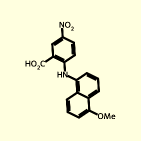 COc1cccc2c(Nc3ccc([N+](=O)[O-])cc3C(=O)O)cccc12